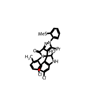 CSc1ccccc1-n1nc2c(c1C(C)C)C1(c3ccc(Cl)cc3NC1O)N(c1cc(Cl)ccc1C)C2=O